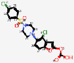 O=C(O)Oc1cc2c(Cl)c(N3CCN(S(=O)(=O)c4ccc(Cl)cc4)CC3)ccc2o1